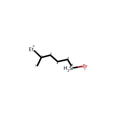 CCC(C)CCC[SiH2]Br